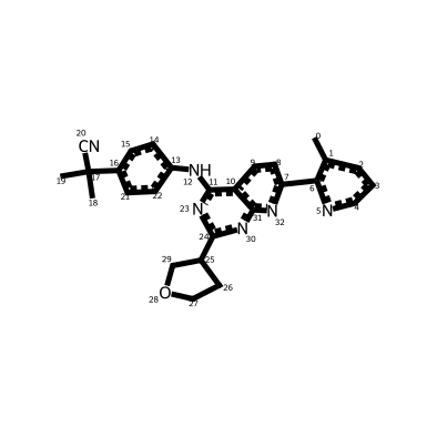 Cc1cccnc1-c1ccc2c(Nc3ccc(C(C)(C)C#N)cc3)nc(C3CCOC3)nc2n1